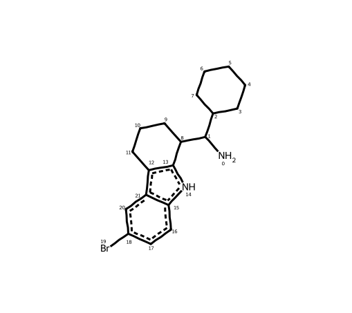 NC(C1CCCCC1)C1CCCc2c1[nH]c1ccc(Br)cc21